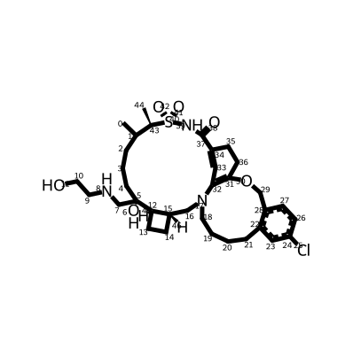 CC1CCC[C@](O)(CNCCO)[C@@H]2CC[C@H]2CN2CCCCc3cc(Cl)ccc3COC3=C2C=C(CC3)C(=O)NS(=O)(=O)[C@@H]1C